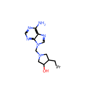 CC(C)CC1CN(Cn2cnc3c(N)ncnc32)CC1O